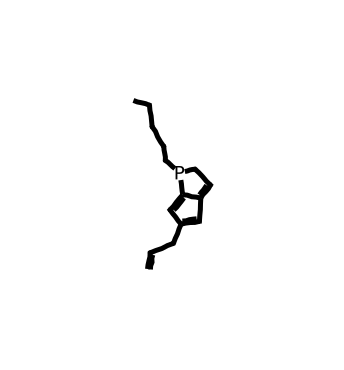 C=CCC1=CC2=CCP(CCCCC)C2=C1